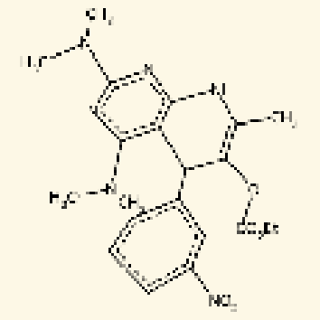 CCOC(=O)OC1=C(C)Nc2nc(N(C)C)nc(N(C)C)c2C1c1cccc([N+](=O)[O-])c1